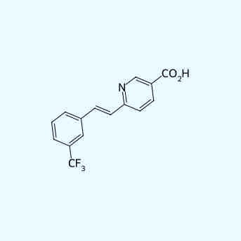 O=C(O)c1ccc(C=Cc2cccc(C(F)(F)F)c2)nc1